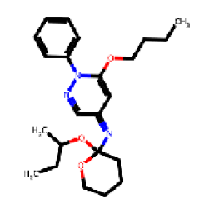 CCCCOc1cc(=NC2(OC(C)CC)CCCCO2)cnn1-c1ccccc1